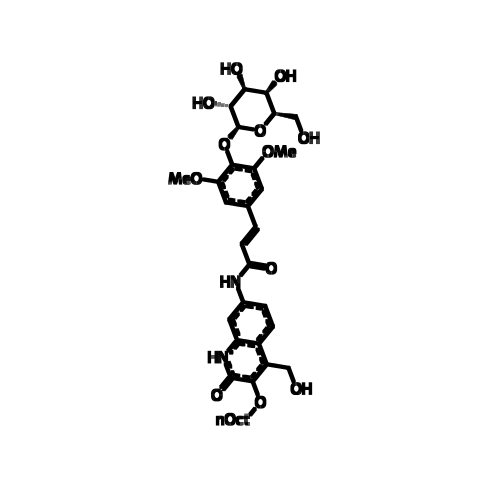 CCCCCCCCOc1c(CO)c2ccc(NC(=O)C=Cc3cc(OC)c(O[C@@H]4O[C@H](CO)[C@H](O)[C@H](O)[C@H]4O)c(OC)c3)cc2[nH]c1=O